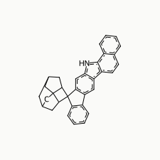 c1ccc2c(c1)-c1cc3c(cc1C21C2CC4CC5CC1C2(C4)C5)[nH]c1c2ccccc2ccc31